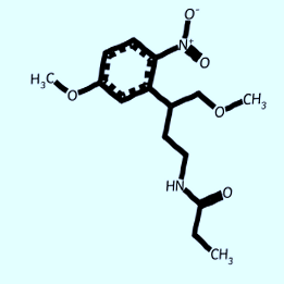 CCC(=O)NCCC(COC)c1cc(OC)ccc1[N+](=O)[O-]